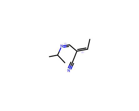 C/C=C(C#N)\C=N/C(C)C